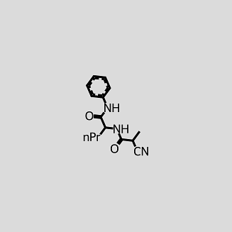 CCCC(NC(=O)C(C)C#N)C(=O)Nc1ccccc1